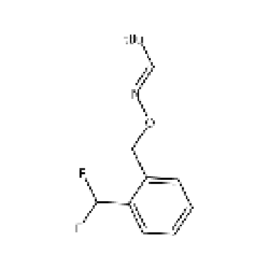 CC(C)(C)C=NOCc1ccccc1C(F)F